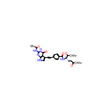 COC(=O)CC[C@H](NC(=O)c1ccc(C#Cc2c[nH]c3nc(NC(=O)C(C)(C)C)[nH]c(=O)c23)cc1)C(=O)OC